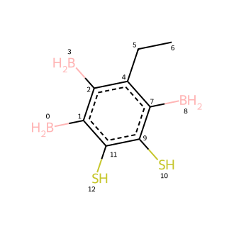 Bc1c(B)c(CC)c(B)c(S)c1S